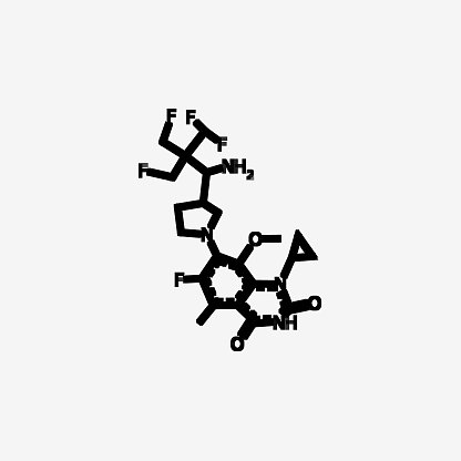 COc1c(N2CCC(C(N)C(CF)(CF)C(F)F)C2)c(F)c(C)c2c(=O)[nH]c(=O)n(C3CC3)c12